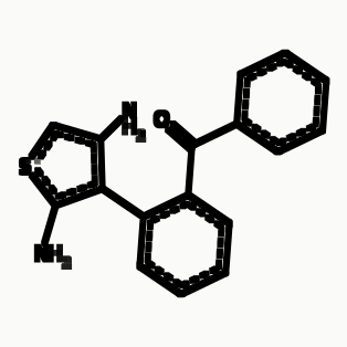 Nc1csc(N)c1-c1ccccc1C(=O)c1ccccc1